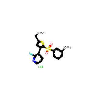 CNCc1cc(-c2cccnc2F)c(S(=O)(=O)c2cccc(OC)c2)s1.Cl